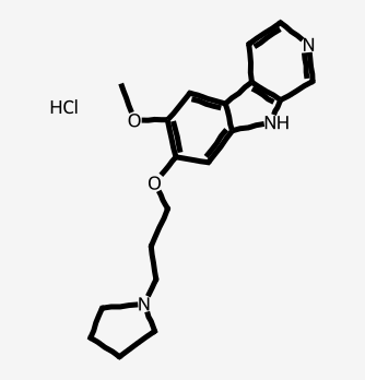 COc1cc2c(cc1OCCCN1CCCC1)[nH]c1cnccc12.Cl